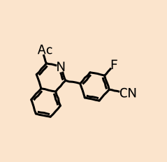 CC(=O)c1cc2ccccc2c(-c2ccc(C#N)c(F)c2)n1